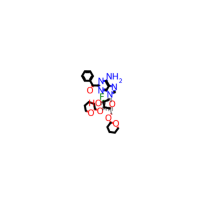 Nc1nc(C(=O)c2ccccc2)nc2c1ncn2[C@@H]1O[C@H](COC2CCCCO2)[C@@H](OC2CCCCO2)[C@@]1(O)F